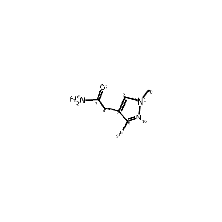 Cn1cc(CC(N)=O)c(F)n1